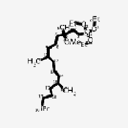 CCO[Si](CCC(C)(CCCC(C)CCCC(C)CCCC(C)C)OC)(OCC)OCC